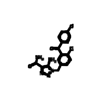 NC(=O)c1nnn(Cc2ccc(Cl)c(C(=O)c3ccc(Cl)cc3)c2)c1N